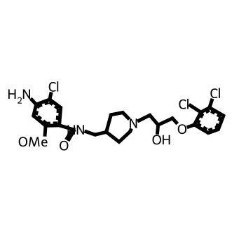 COc1cc(N)c(Cl)cc1C(=O)NCC1CCN(CC(O)COc2cccc(Cl)c2Cl)CC1